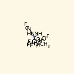 CC(C)N(Oc1c(/C(C=N)=C/NCCN2CCC(F)C2)cc(C(F)(F)F)cc1C(F)(F)F)c1ccc(F)cc1